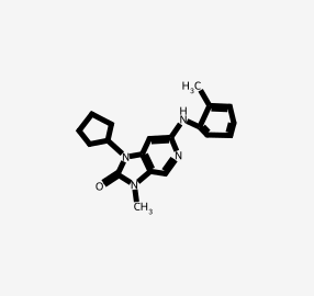 Cc1ccccc1Nc1cc2c(cn1)n(C)c(=O)n2C1CCCC1